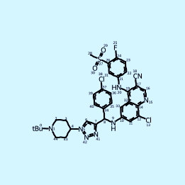 CC(C)(C)N1CCC(n2cc(C(Nc3cc(Cl)c4ncc(C#N)c(Nc5ccc(F)c(S(C)(=O)=O)c5)c4c3)c3ccc(Cl)cc3)nn2)CC1